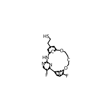 Fc1cnc2nc1-c1ccc(F)c(c1F)OCCCCOc1cc(CCS)cc(c1)N2